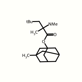 CNC(C)(CC(C)(C)C)C(=O)OC12CC3CC(CC(C)(C3)C1)C2